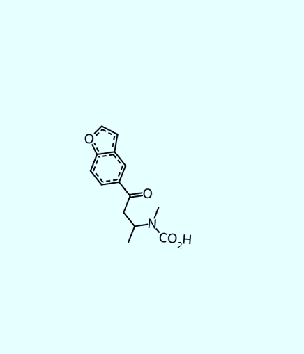 CC(CC(=O)c1ccc2occc2c1)N(C)C(=O)O